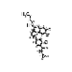 CCCCNc1nc2cc(F)c(F)cc2n2c(-c3ccc(C(=O)NC4CC4)c(Cl)c3)cnc12